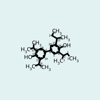 CCC(C)c1cc(-c2cc(C(C)C)c(O)c(C(C)C)c2)cc(C(C)CC)c1O